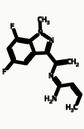 C=C(/N=C(N)\C=C/C)c1nn(C)c2c(F)cc(F)cc12